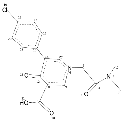 CN(C)C(=O)Cn1cc(C(=O)O)c(=O)c(-c2ccc(Cl)cc2)c1